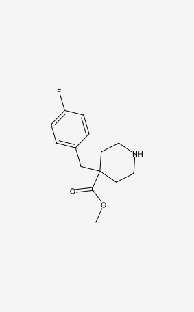 COC(=O)C1(Cc2ccc(F)cc2)CCNCC1